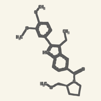 CCc1c(-c2ccc(OC)c(OC)c2)[nH]c2ccc(C(=O)N3CCC[C@H]3COC)cc12